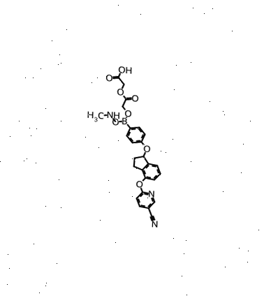 CNOB(OCC(=O)OCC(=O)O)c1ccc(OC2CCc3c(Oc4ccc(C#N)cn4)cccc32)cc1